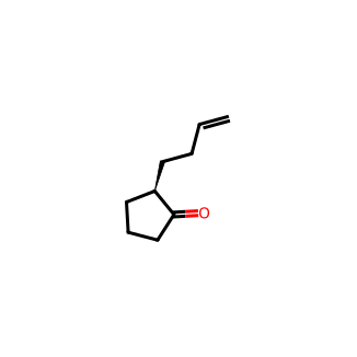 C=CCC[C@@H]1CCCC1=O